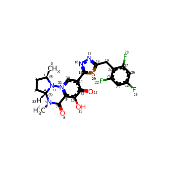 C[C@@H]1CC[C@H]2N(C)C(=O)c3c(O)c(=O)c(-c4nnc(Cc5c(F)cc(F)cc5F)s4)cn3N12